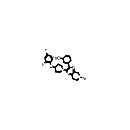 COC1CCCC(c2nc3c(nc2N2CCC(Oc4ccc(F)cc4F)CC2)CCN(C(C)=O)C3)C1